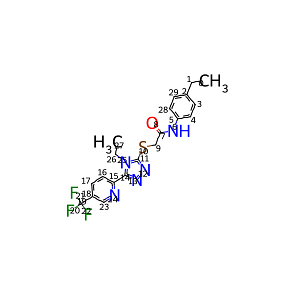 CCc1ccc(NC(=O)CSc2nnc(-c3ccc(C(F)(F)F)cn3)n2CC)cc1